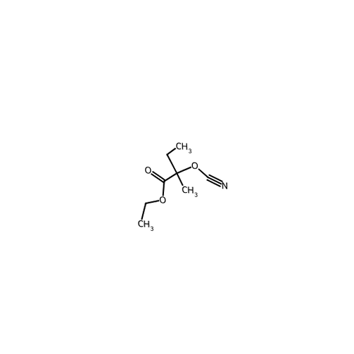 CCOC(=O)C(C)(CC)OC#N